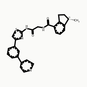 C[C@H]1CCc2c(C(=O)NCC(=O)Nc3nc(-c4cccc(-c5ccncc5)c4)cs3)cccc21